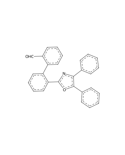 O=Cc1ccccc1-c1ccccc1-c1nc(-c2ccccc2)c(-c2ccccc2)o1